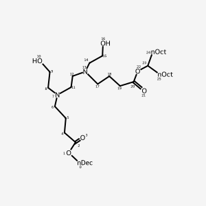 CCCCCCCCCCOC(=O)CCCN(CCO)CCN(CCO)CCCC(=O)OC(CCCCCCCC)CCCCCCCC